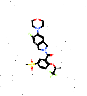 C[C@H](Oc1ccc(S(C)(=O)=O)cc1C(=O)N1Cc2cc(F)c(N3CCOCC3)cc2C1)C(F)(F)F